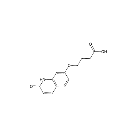 O=C(O)CCCOc1ccc2ccc(=O)[nH]c2c1